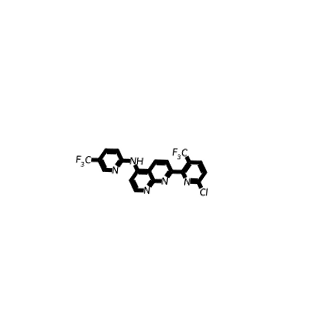 FC(F)(F)c1ccc(Nc2ccnc3nc(-c4nc(Cl)ccc4C(F)(F)F)ccc23)nc1